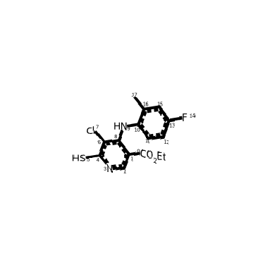 CCOC(=O)c1cnc(S)c(Cl)c1Nc1ccc(F)cc1C